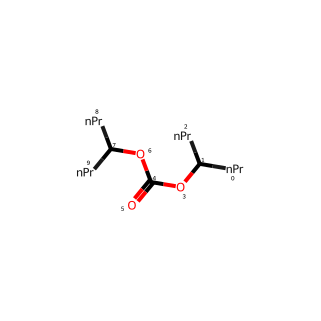 CCCC(CCC)OC(=O)OC(CCC)CCC